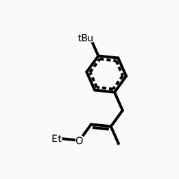 CCOC=C(C)Cc1ccc(C(C)(C)C)cc1